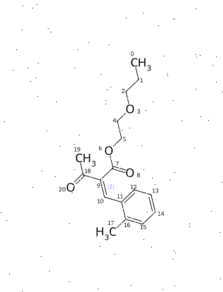 CCCOCCOC(=O)/C(=C\c1ccccc1C)C(C)=O